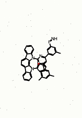 Cc1cc(C)cc(-c2cc(-c3cc(C)cc(P=N)c3)nc(-n3c4ccccc4c4ccc5c6ccccc6n(-c6ccccc6)c5c43)n2)c1